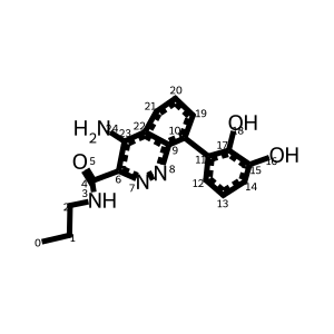 CCCNC(=O)c1nnc2c(-c3cccc(O)c3O)cccc2c1N